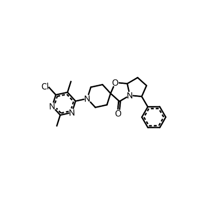 Cc1nc(Cl)c(C)c(N2CCC3(CC2)OC2CCC(c4ccccc4)N2C3=O)n1